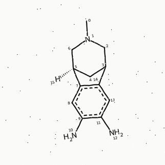 CN1CC2C[C@H](C1)c1cc(N)c(N)cc12